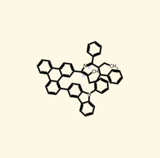 CCC1/C(c2ccccc2)=N\C(c2ccc3c4ccccc4c4cccc(-c5ccc6c(c5)c5ccccc5n6-c5ccccc5)c4c3c2)=C(/C)CCC1c1ccccc1